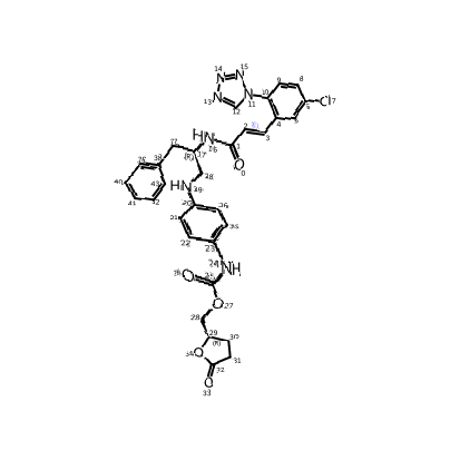 O=C(/C=C/c1cc(Cl)ccc1-n1cnnn1)N[C@@H](CNc1ccc(NC(=O)OC[C@H]2CCC(=O)O2)cc1)Cc1ccccc1